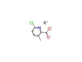 Cc1ccc(Cl)nc1C(=O)[O-].[K+]